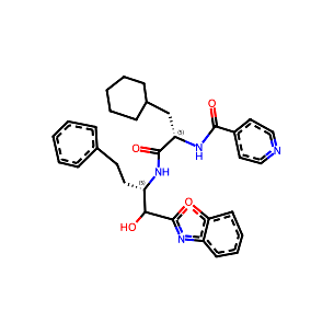 O=C(N[C@@H](CC1CCCCC1)C(=O)N[C@@H](CCc1ccccc1)C(O)c1nc2ccccc2o1)c1ccncc1